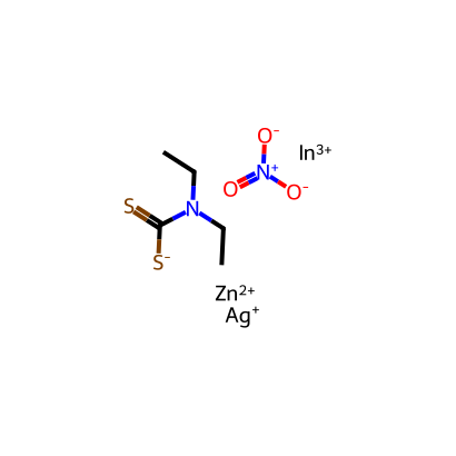 CCN(CC)C(=S)[S-].O=[N+]([O-])[O-].[Ag+].[In+3].[Zn+2]